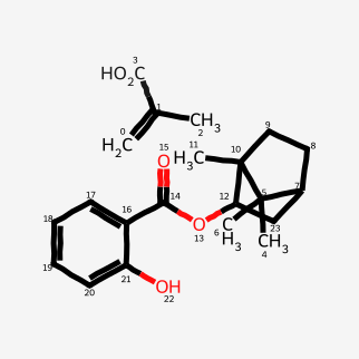 C=C(C)C(=O)O.CC1(C)C2CCC1(C)C(OC(=O)c1ccccc1O)C2